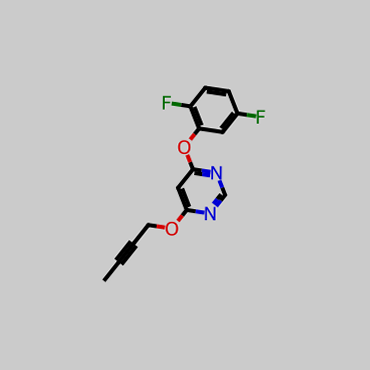 CC#CCOc1cc(Oc2cc(F)ccc2F)ncn1